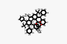 CC(C)(C)c1c(C2=CC=CC2)c2c(c(-c3ccccc3)c1-c1ccccc1)-c1c(-c3ccccc3)c(=C(c3ccccc3)c3ccccc3)c(C(C)(C)C)cc1=[C]2[Zr+2].[Cl-].[Cl-]